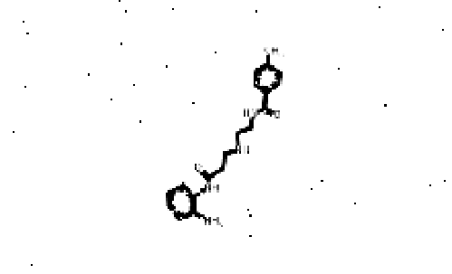 Cc1ccc(C(=O)NCCNCCC(=O)Nc2ccccc2N)cc1